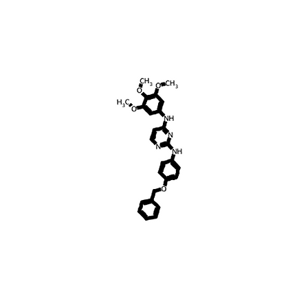 COc1cc(Nc2ccnc(Nc3ccc(OCc4ccccc4)cc3)n2)cc(OC)c1OC